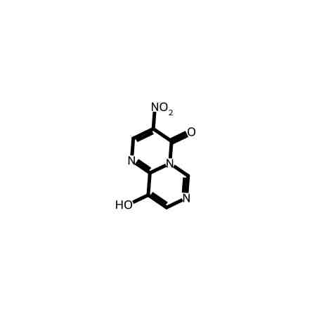 O=c1c([N+](=O)[O-])cnc2c(O)cncn12